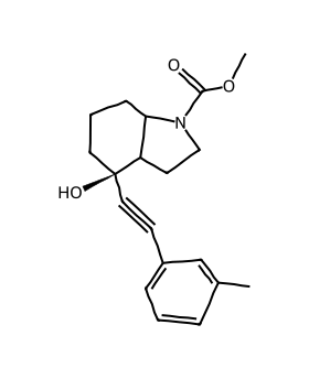 COC(=O)N1CCC2C1CCC[C@@]2(O)C#Cc1cccc(C)c1